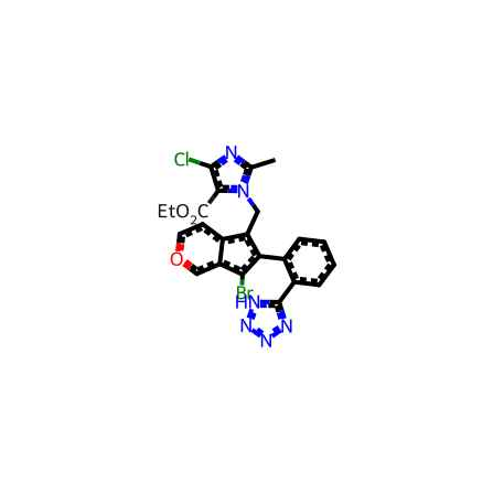 CCOC(=O)c1c(Cl)nc(C)n1Cc1c2ccocc-2c(Br)c1-c1ccccc1-c1nnn[nH]1